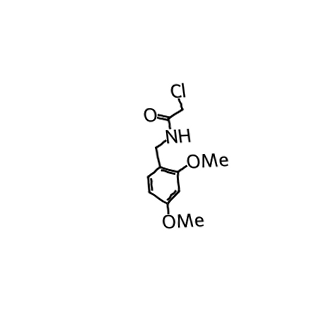 COc1ccc(CNC(=O)CCl)c(OC)c1